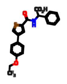 O=C(NC(C(=O)O)c1ccccc1)c1cc(-c2ccc(OCC(F)(F)F)cc2)cs1